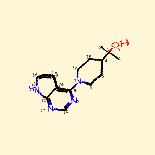 CC(C)(O)C1CCN(c2ncnc3[nH]ccc23)CC1